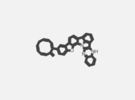 C=C1/C=C\C=C/C/C=C\C=C/1c1ccc2oc3c(ccc4c5cccc6c7c(n(c65)c43)N=C3C=CC=CC3N7)c2c1